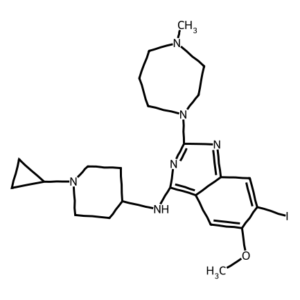 COc1cc2c(NC3CCN(C4CC4)CC3)nc(N3CCCN(C)CC3)nc2cc1I